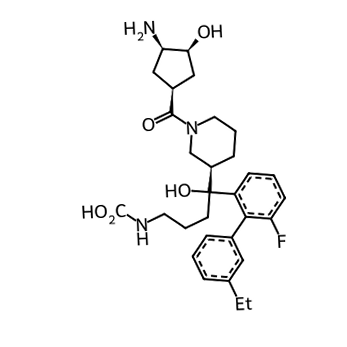 CCc1cccc(-c2c(F)cccc2C(O)(CCCNC(=O)O)[C@@H]2CCCN(C(=O)[C@H]3C[C@@H](N)[C@@H](O)C3)C2)c1